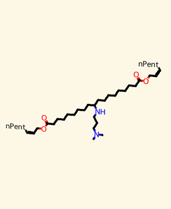 CCCCC/C=C\COC(=O)CCCCCCCCC(CCCCCCCCC(=O)OC/C=C\CCCCC)NCCCN(C)C